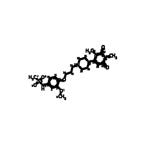 COc1cc(NS(C)(=O)=O)ccc1OCCCN1CCN(c2cc(=O)n(C)c(=O)n2C)CC1